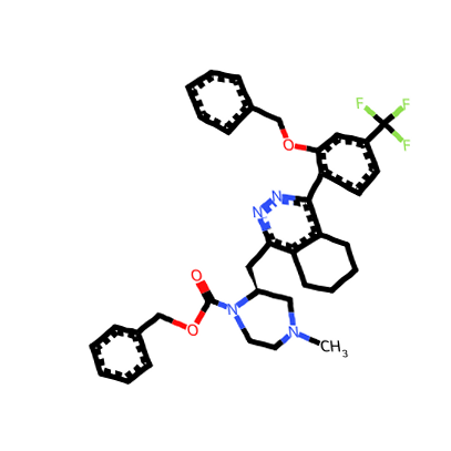 CN1CCN(C(=O)OCc2ccccc2)[C@@H](Cc2nnc(-c3ccc(C(F)(F)F)cc3OCc3ccccc3)c3c2CCCC3)C1